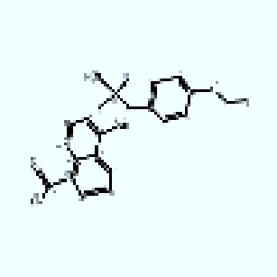 CCOc1ccc([C@H](Nc2ccnc3c(C(N)=O)cccc23)C(C)(C)N)cc1